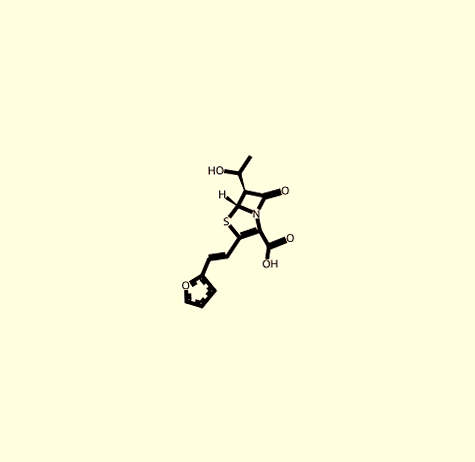 CC(O)[C@H]1C(=O)N2C(C(=O)O)=C(/C=C/c3ccco3)S[C@H]12